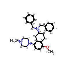 COc1ccc(N2CCN(C)CC2)c2c1CCC(N(Cc1ccccc1)Cc1ccccc1)C2